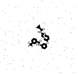 O=C(Nc1cccc(Oc2ccc3nc(NC(=O)C4CC4)cn3c2)c1)c1cccc(C(F)(F)F)c1